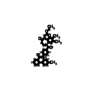 CCOC(=O)CN1C(=O)CCN(C(=O)c2ccc(NC(=O)c3ccccc3-c3ccc(C)cc3)cc2)c2cc(C)c(C)cc21